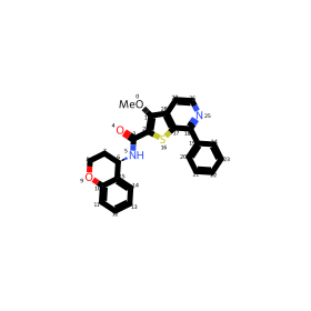 COc1c(C(=O)N[C@H]2CCOc3ccccc32)sc2c(-c3ccccc3)nccc12